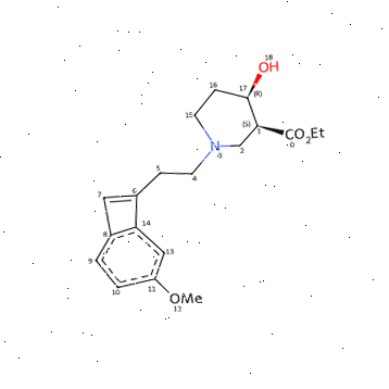 CCOC(=O)[C@H]1CN(CCC2=Cc3ccc(OC)cc32)CC[C@H]1O